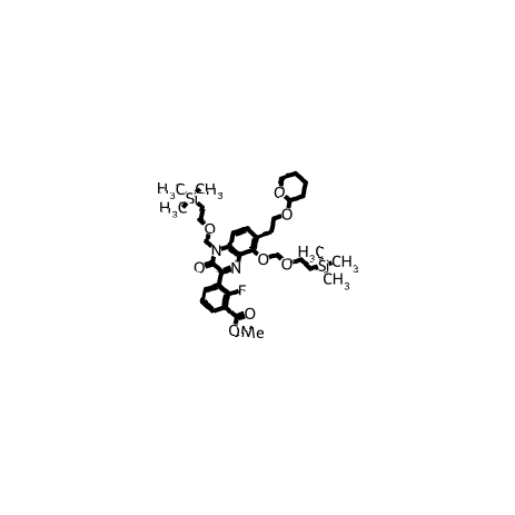 COC(=O)c1cccc(-c2nc3c(OCOCC[Si](C)(C)C)c(CCOC4CCCCO4)ccc3n(COCC[Si](C)(C)C)c2=O)c1F